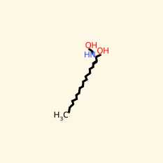 CCCCCCCCCCCCCCCC/C=C/C(CO)NCCO